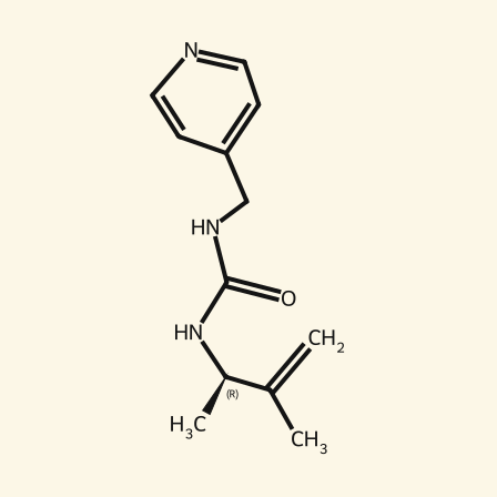 C=C(C)[C@@H](C)NC(=O)NCc1ccncc1